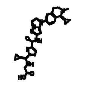 CN1CCc2cc(N3CCn4nc(NC(=O)c5ccc(C(NCC(=O)O)=C6CC6)s5)cc43)ccc2C1=C1CC1